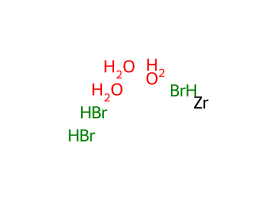 Br.Br.Br.O.O.O.[Zr]